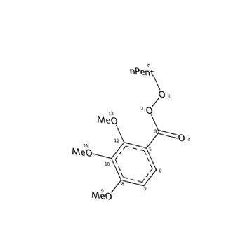 [CH2]CCCCOOC(=O)c1ccc(OC)c(OC)c1OC